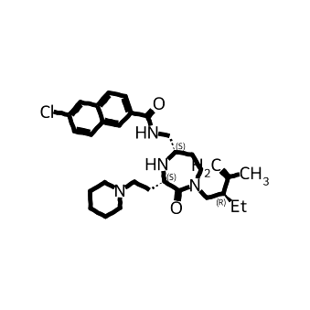 C=C(C)[C@@H](CC)CN1CC[C@@H](CNC(=O)c2ccc3cc(Cl)ccc3c2)N[C@@H](CCN2CCCCC2)C1=O